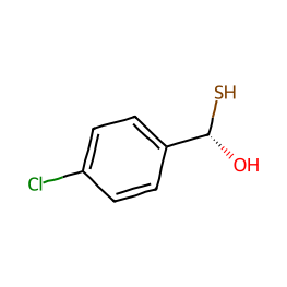 O[C@@H](S)c1ccc(Cl)cc1